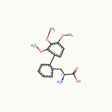 COc1ccc(-c2ccccc2C[C@H](N)C(=O)O)c(OC)c1OC